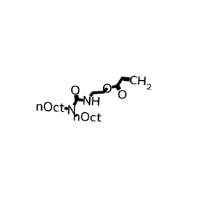 C=CC(=O)OCCNC(=O)N(CCCCCCCC)CCCCCCCC